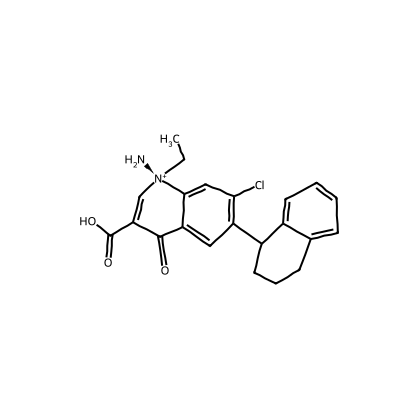 CC[N@@+]1(N)C=C(C(=O)O)C(=O)c2cc(C3CCCc4ccccc43)c(Cl)cc21